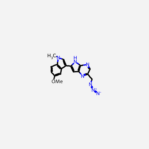 COc1ccc2c(c1)c(-c1cc3nc(CN=[N+]=[N-])cnc3[nH]1)cn2C